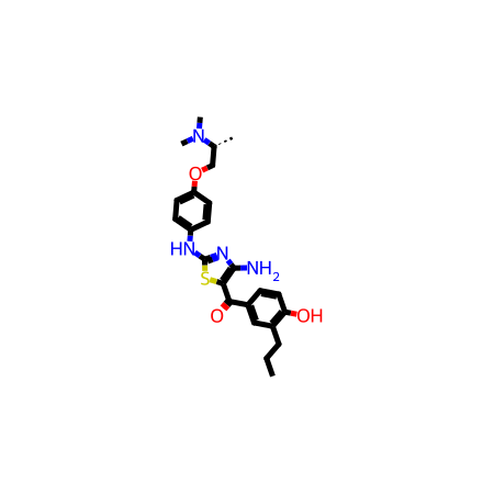 CCCc1cc(C(=O)c2sc(Nc3ccc(OC[C@@H](C)N(C)C)cc3)nc2N)ccc1O